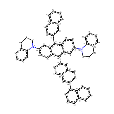 c1ccc2c(c1)CCCN2c1ccc2c(-c3ccc4cc(-c5cccc6ccccc56)ccc4c3)c3cc(N4CCCc5ccccc54)ccc3c(-c3ccc4ccccc4c3)c2c1